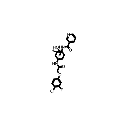 O=C(COc1ccc(Cl)c(F)c1)NC12CCC(NC(=O)c3cccnc3)(CC1)[C@@H](O)C2